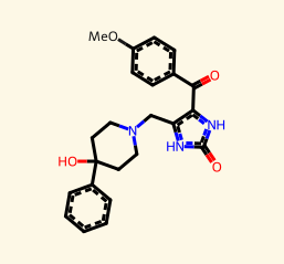 COc1ccc(C(=O)c2[nH]c(=O)[nH]c2CN2CCC(O)(c3ccccc3)CC2)cc1